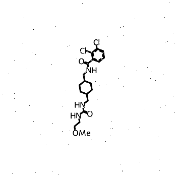 COCCNC(=O)NCC1CCC(CNC(=O)c2cccc(Cl)c2Cl)CC1